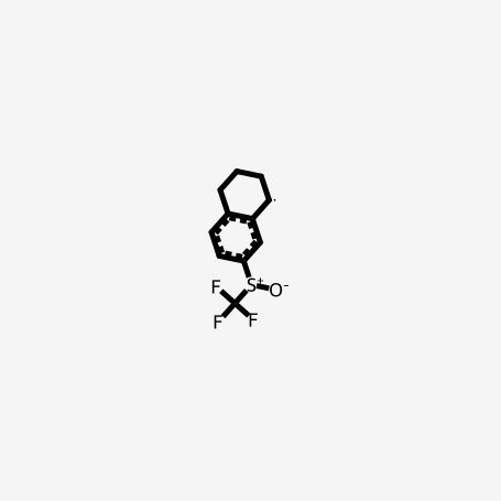 [O-][S+](c1ccc2c(c1)[CH]CCC2)C(F)(F)F